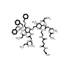 C#CCNC(=O)CCC(=O)NCCO[C@@H]1OC(CO[C@@H]2OC(COCc3ccccc3)[C@@H](OP(=O)(OCc3ccccc3)OCc3ccccc3)[C@H](OC(=O)CC)C2NC(=O)C[C@@H](CC)OC(=O)CC)[C@@H](C)[C@H](OC(=O)CC)C1NC(=O)C[C@@H](CC)OC(=O)CC